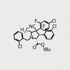 CC1N(Cc2ccccc2Cl)[C@@H](C(=O)OC(C)(C)C)[C@H](c2cccc(Cl)c2F)[C@@]1(C#N)c1ccc(Cl)cc1F